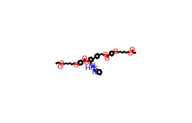 C=CC(=O)OCCCCCCOc1ccc(C(=O)OCCc2ccc(-c3ccc(OC(=O)c4ccc(OCCCCCCOC(=O)C=C)cc4)c(/C=N/Nc4nc5ccccc5s4)c3)cc2)cc1